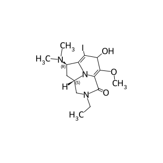 CCN1C[C@@H]2C[C@@H](N(C)C)C3=C(I)C(O)C(OC)=C(C1=O)N32